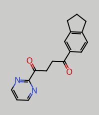 O=C(CCC(=O)c1ncccn1)c1ccc2c(c1)CCC2